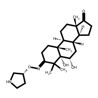 CC1(C)/C(=N/O[C@@H]2CCNC2)CC[C@]2(C)[C@H]3CC[C@]4(C)C(=O)CC[C@H]4[C@@H]3C[C@H](O)[C@@]12O